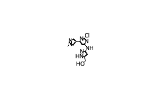 Cn1cc(-c2cc(Nc3cc(CO)[nH]n3)nc(Cl)n2)cn1